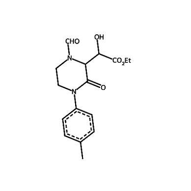 CCOC(=O)C(O)C1C(=O)N(c2ccc(C)cc2)CCN1C=O